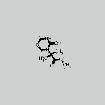 COC(=O)C(C)(C)N1COCNC1=O